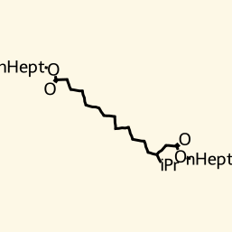 CCCCCCCOC(=O)CCCCCCCCCCCCC(CC(=O)OCCCCCCC)C(C)C